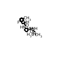 Cc1ccc(F)c2c1NC(C(=O)N[C@@H]1CCC[C@H](C3NNC(CN(C)C)O3)C1)C2